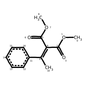 COC(=O)C(C(=O)OC)=C(C)c1ccccc1